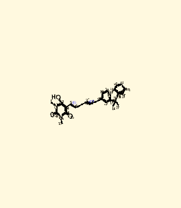 Cn1c(O)c(/C=C/C=C/c2cc[n+]3c(c2)C(C)(C)c2ccccc2-3)c(=O)n(C)c1=O